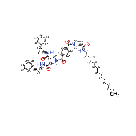 CCCCCCCCCCCCCCCCNC(=O)[C@H]1CCN(C(=O)c2ccc(C(=O)N3C[C@@H](C(=O)N[C@H]4C[C@@H]4c4ccccc4)[C@H](C(=O)N[C@H]4C[C@@H]4c4ccccc4)C3)cc2)C1